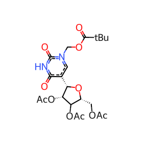 CC(=O)OC[C@H]1O[C@@H](c2cn(COC(=O)C(C)(C)C)c(=O)[nH]c2=O)[C@@H](OC(C)=O)C1OC(C)=O